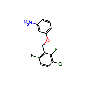 Nc1cccc(OCc2c(F)ccc(Cl)c2F)c1